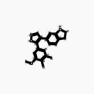 COc1cc(-c2oncc2-c2ccc3c(c2)OCC3)cc(C)c1C